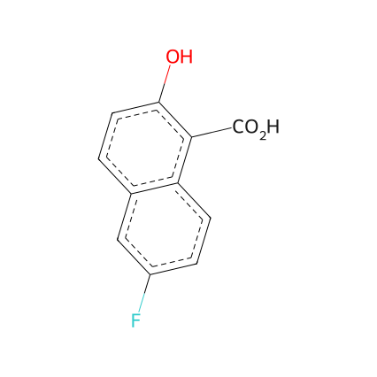 O=C(O)c1c(O)ccc2cc(F)ccc12